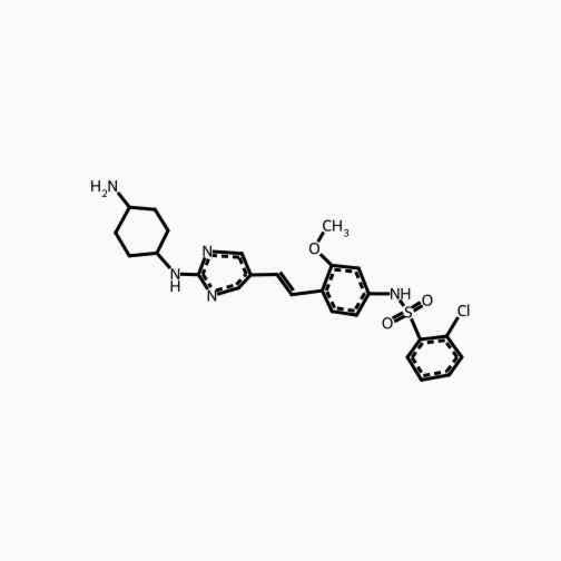 COc1cc(NS(=O)(=O)c2ccccc2Cl)ccc1/C=C/c1cnc(NC2CCC(N)CC2)nc1